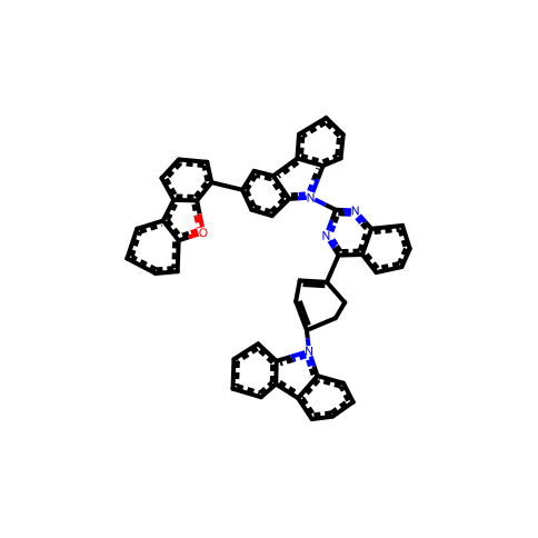 C1=C(c2nc(-n3c4ccccc4c4cc(-c5cccc6c5oc5ccccc56)ccc43)nc3ccccc23)CCC(n2c3ccccc3c3ccccc32)=C1